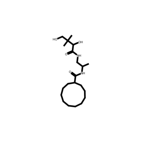 CC(CNC(=O)C(O)C(C)(C)CO)NC(=O)C1CCCCCCCCCC1